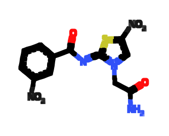 NC(=O)Cn1cc([N+](=O)[O-])s/c1=N\C(=O)c1cccc([N+](=O)[O-])c1